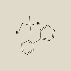 CC(C)(Br)CBr.c1ccc(-c2ccccc2)cc1